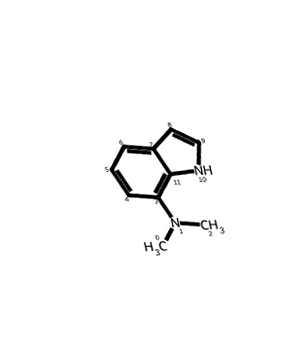 CN(C)c1cccc2c[c][nH]c12